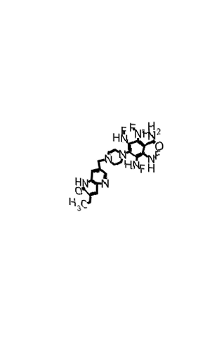 CCc1cc2ncc(CN3CCN(c4c(NF)c(NF)c(C(N)=O)c(NF)c4NF)CC3)cc2[nH]c1=O